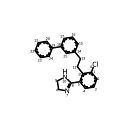 Clc1cccc(C2=NCCN2)c1CCc1cccc(-c2ccccc2)c1